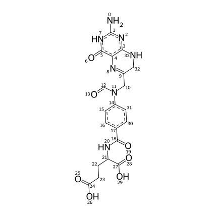 Nc1nc2c(c(=O)[nH]1)N=C(CN(C=O)c1ccc(C(=O)NC(CCC(=O)O)C(=O)O)cc1)CN2